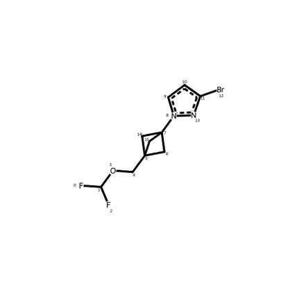 FC(F)OCC12CC(n3ccc(Br)n3)(C1)C2